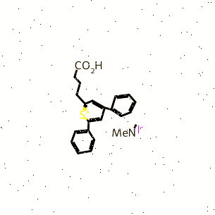 CNC.O=C(O)CCCc1cc(-c2ccccc2)cc(-c2ccccc2)[s+]1.[I-]